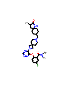 CCC1CC2(CCC(CN3CCC4(CC3)CN(c3ncnnc3Oc3ccc(F)cc3C(=O)N(C(C)C)C(C)C)C4)CC2)NC1=O